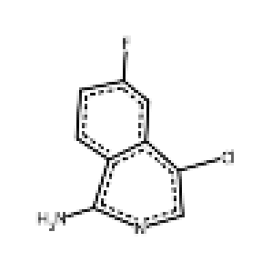 Nc1ncc(Cl)c2cc(F)ccc12